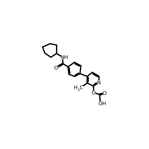 Cc1c(-c2ccc(C(=O)NC3CCCCC3)cc2)ccnc1OC(=O)O